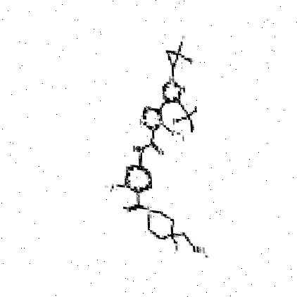 Cc1cc(NC(=O)c2ncc(-c3cn(C4CC4(F)F)nc3C(F)(F)F)n2C)ccc1C(=O)N1CCC(F)(CN)CC1